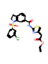 CCOC(=O)Cc1csc(NC(=O)c2ccc3c(c2)N(S(=O)(=O)c2cccc(Cl)c2)CC3)n1